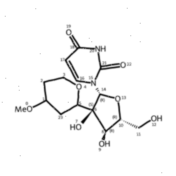 COC1CCOC([C@@]2(O)[C@H](O)[C@@H](CO)O[C@H]2n2ccc(=O)[nH]c2=O)C1